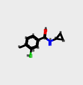 Cc1ccc(C(=O)NC2CC2)cc1Cl